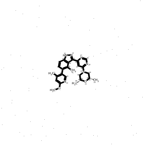 COc1cc(C)c(-c2ccc3[nH]nc(-c4cc(N5C[C@@H](C)O[C@@H](C)C5)ncn4)c3c2C)cn1